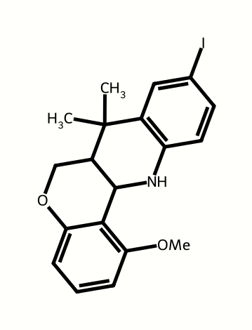 COc1cccc2c1C1Nc3ccc(I)cc3C(C)(C)C1CO2